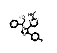 CNc1nccc(-c2c(-c3ccc(F)cc3)ncn2C(CO)c2ccccc2)n1